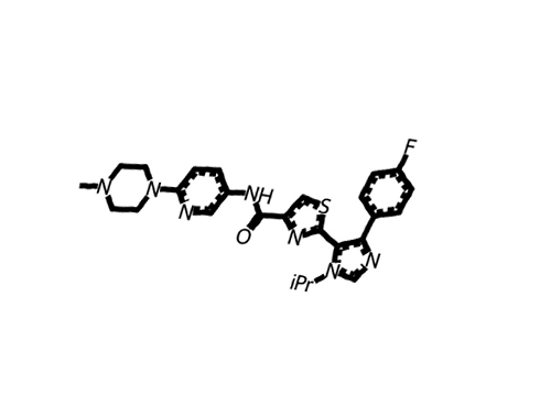 CC(C)n1cnc(-c2ccc(F)cc2)c1-c1nc(C(=O)Nc2ccc(N3CCN(C)CC3)nc2)cs1